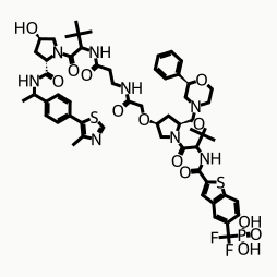 Cc1ncsc1-c1ccc(C(C)NC(=O)[C@@H]2C[C@@H](O)CN2C(=O)C(NC(=O)CCNC(=O)CO[C@H]2C[C@@H](C(=O)N3CCO[C@H](c4ccccc4)C3)N(C(=O)C(NC(=O)c3cc4cc(C(F)(F)P(=O)(O)O)ccc4s3)C(C)(C)C)C2)C(C)(C)C)cc1